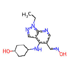 CCn1ncc2c(NC3CCC(O)CC3)c(/C=N/O)cnc21